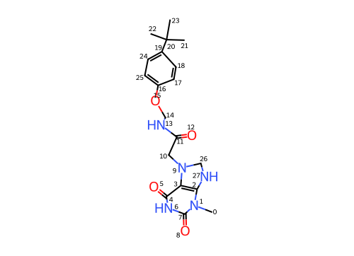 Cn1c2c(c(=O)[nH]c1=O)N(CC(=O)NCOc1ccc(C(C)(C)C)cc1)CN2